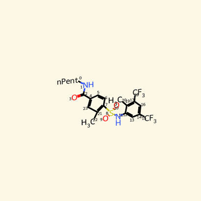 CCCCCNC(=O)c1ccc(S(=O)(=O)Nc2cc(C(F)(F)F)cc(C(F)(F)F)c2C)c(C)c1